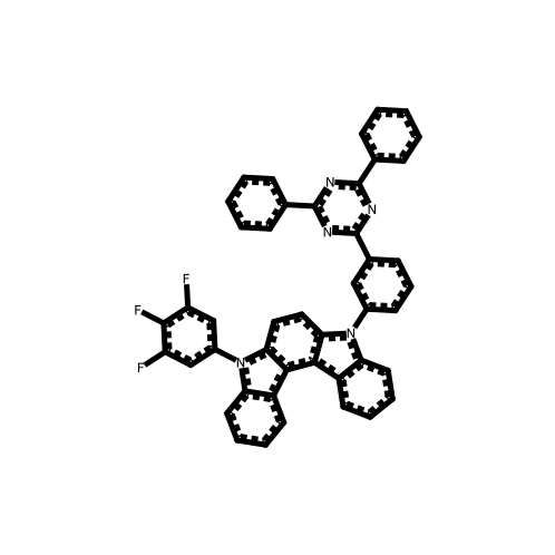 Fc1cc(-n2c3ccccc3c3c4c5ccccc5n(-c5cccc(-c6nc(-c7ccccc7)nc(-c7ccccc7)n6)c5)c4ccc32)cc(F)c1F